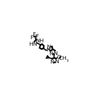 COc1ncnc(C2CC2)c1-c1ncc2cnn(Cc3ccc(C4NC=C(C(F)(F)F)N4)cc3)c2n1